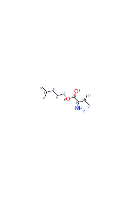 CC(C)CCCOC(=O)C(N)C(C)C